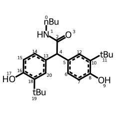 CCCCNC(=O)C(c1ccc(O)c(C(C)(C)C)c1)c1ccc(O)c(C(C)(C)C)c1